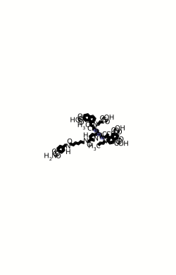 CCCN1/C(=C/C=C(/C=C/C2=[N+](CCCS(=O)(=O)O)c3ccc4ccc(S(=O)(=O)O)cc4c3C2(C)C)c2ccc(C(=O)NCCCCCC(=O)NCc3ccc(S(N)(=O)=O)cc3)cn2)C(C)(C)c2c1ccc1c(S(=O)(=O)O)cc(S(=O)(=O)O)cc21